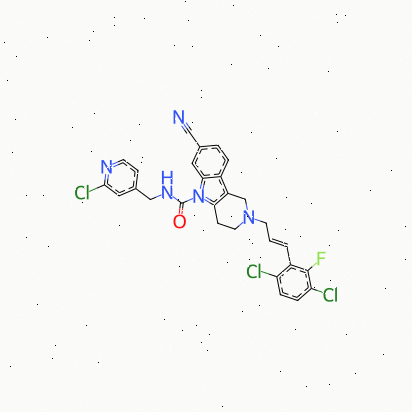 N#Cc1ccc2c3c(n(C(=O)NCc4ccnc(Cl)c4)c2c1)CCN(CC=Cc1c(Cl)ccc(Cl)c1F)C3